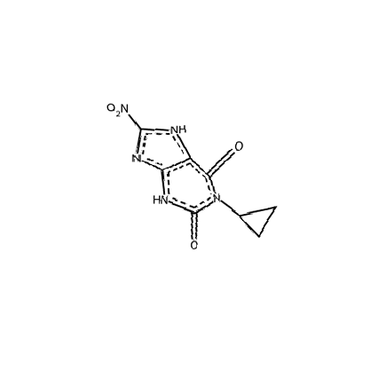 O=c1[nH]c2nc([N+](=O)[O-])[nH]c2c(=O)n1C1CC1